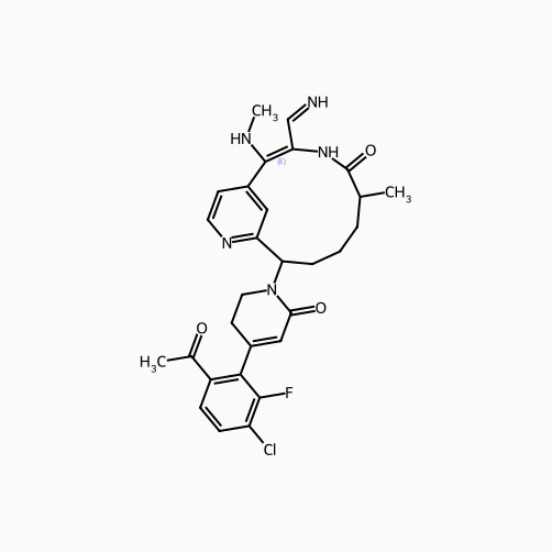 CN/C1=C(\C=N)NC(=O)C(C)CCCC(N2CCC(c3c(C(C)=O)ccc(Cl)c3F)=CC2=O)c2cc1ccn2